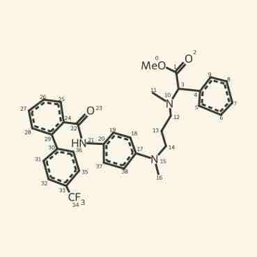 COC(=O)C(c1ccccc1)N(C)CCCN(C)c1ccc(NC(=O)c2ccccc2-c2ccc(C(F)(F)F)cc2)cc1